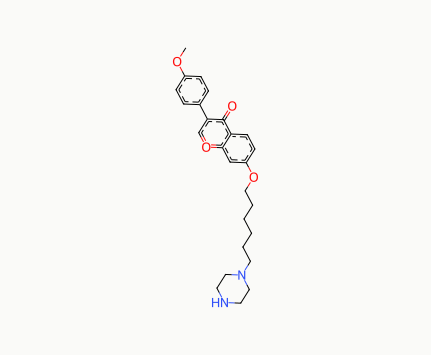 COc1ccc(-c2coc3cc(OCCCCCCN4CCNCC4)ccc3c2=O)cc1